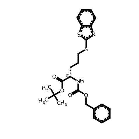 CC(C)(C)OC(=O)[C@H](CCCSc1nc2ccccc2s1)NC(=O)OCc1ccccc1